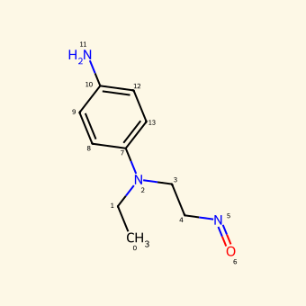 CCN(CCN=O)c1ccc(N)cc1